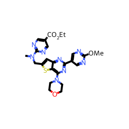 CCOC(=O)c1cnc(N(C)Cc2cc3nc(-c4cnc(OC)nc4)nc(N4CCOCC4)c3s2)nc1